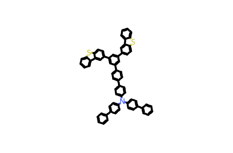 c1ccc(-c2ccc(N(c3ccc(-c4ccccc4)cc3)c3ccc(-c4ccc(-c5cc(-c6ccc7sc8ccccc8c7c6)cc(-c6ccc7sc8ccccc8c7c6)c5)cc4)cc3)cc2)cc1